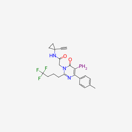 C#CC1(NC(=O)Cn2c(CCCC(F)(F)F)nc(-c3ccc(C)cc3)c(P)c2=O)CC1